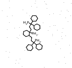 PC1(CCC(P)(C2CCCCC2)C2CCCCC2)CCCCC1CCC(P)(C1CCCCC1)C1CCCCC1